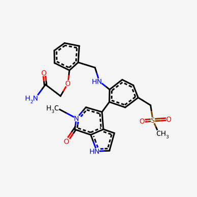 Cn1cc(-c2cc(CS(C)(=O)=O)ccc2NCc2ccccc2OCC(N)=O)c2cc[nH]c2c1=O